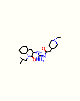 CCN1CCC(CC(=O)N=C(N)NC(CC2CCCCC2)C(=O)NCC(C)C)CC1